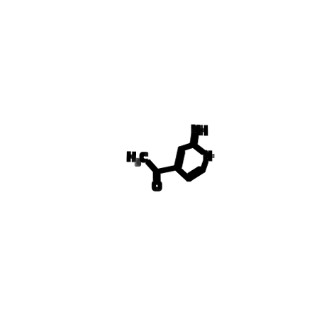 CC(=O)C1=CC(=N)[N]C=C1